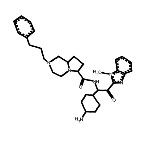 Cn1c(C(=O)C(NC(=O)C2CCC3CN(CCCc4ccccc4)CCN32)C2CCC(N)CC2)nc2ccccc21